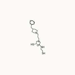 O=C(CN(CCS)CCCN1CCC(Cc2ccccc2)CC1)NCCS